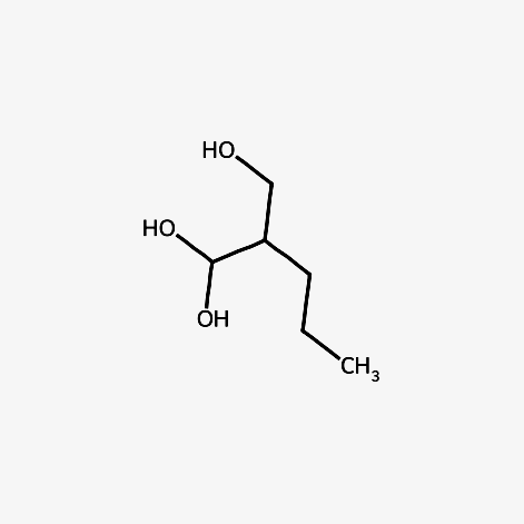 CCCC(CO)C(O)O